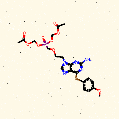 COc1ccc(Sc2nc(N)nc3c2ncn3CCOCP(=O)(OCOC(C)=O)OCOC(C)=O)cc1